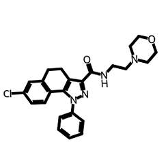 O=C(NCCN1CCOCC1)c1nn(-c2ccccc2)c2c1CCc1cc(Cl)ccc1-2